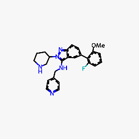 COc1cccc(F)c1-c1ccc2nn(C3CCCNC3)c(NCc3ccncc3)c2c1